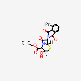 CC(C)c1cccc2c1C(=O)N(C1C(=O)N3C(C(=O)OCC(Cl)(Cl)Cl)[C@](C)(O)CS[C@@H]13)C2=O